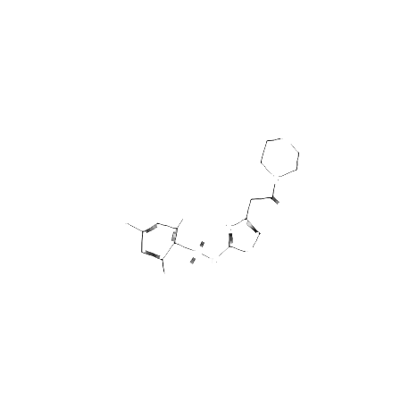 O=C(Cc1csc(NS(=O)(=O)c2c(Cl)cc(Cl)cc2Cl)n1)N1CCOCC1